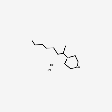 CCCCCCC(C)N1CCNCC1.Cl.Cl